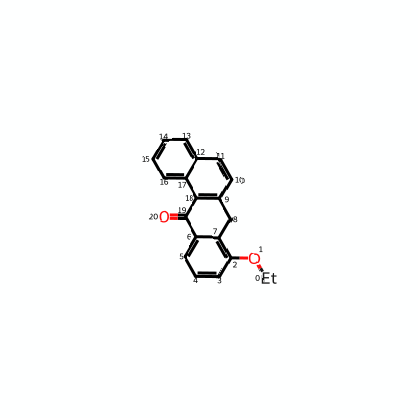 CCOc1cccc2c1Cc1ccc3ccccc3c1C2=O